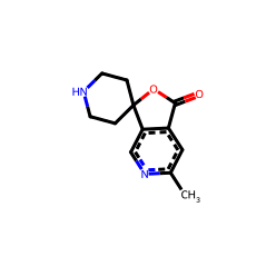 Cc1cc2c(cn1)C1(CCNCC1)OC2=O